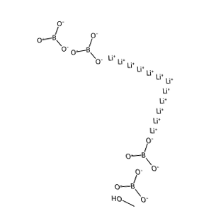 CO.[Li+].[Li+].[Li+].[Li+].[Li+].[Li+].[Li+].[Li+].[Li+].[Li+].[Li+].[Li+].[O-]B([O-])[O-].[O-]B([O-])[O-].[O-]B([O-])[O-].[O-]B([O-])[O-]